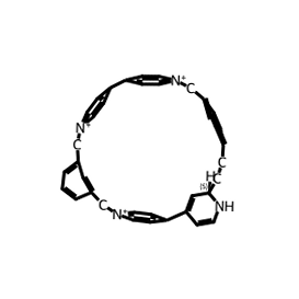 C1=CC2=C[C@H](CCc3ccc(cc3)C[n+]3ccc(cc3)-c3cc[n+](cc3)Cc3cccc(c3)C[n+]3ccc2cc3)N1